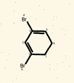 BrC1=CC(Br)=CC[CH]1